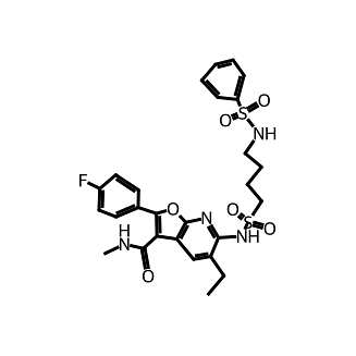 CCc1cc2c(C(=O)NC)c(-c3ccc(F)cc3)oc2nc1NS(=O)(=O)CCCCNS(=O)(=O)c1ccccc1